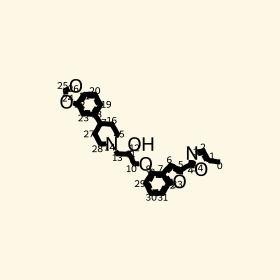 Cc1cnc(-c2cc3c(OC[C@@H](O)CN4CCC(c5ccc6c(c5)OCO6)CC4)cccc3o2)o1